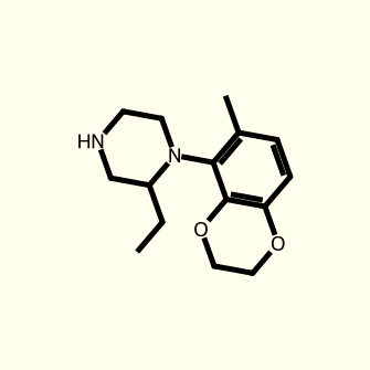 CCC1CNCCN1c1c(C)ccc2c1OCCO2